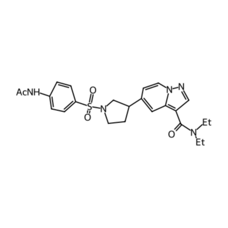 CCN(CC)C(=O)c1cnn2ccc(C3CCN(S(=O)(=O)c4ccc(NC(C)=O)cc4)C3)cc12